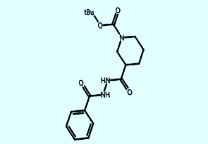 CC(C)(C)OC(=O)N1CCCC(C(=O)NNC(=O)c2ccccc2)C1